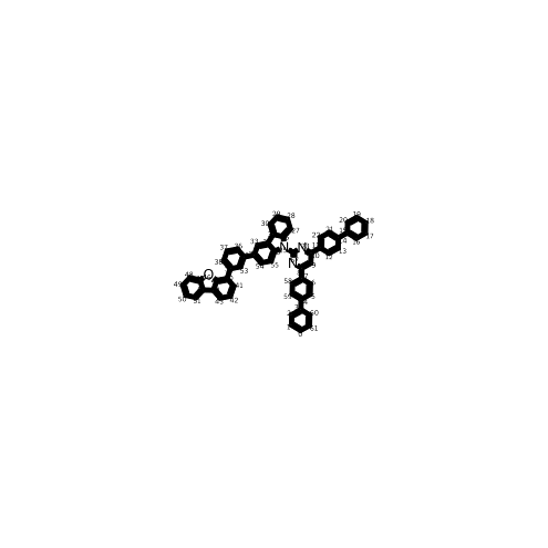 c1ccc(-c2ccc(-c3cc(-c4ccc(-c5ccccc5)cc4)nc(-n4c5ccccc5c5cc(-c6cccc(-c7cccc8c7oc7ccccc78)c6)ccc54)n3)cc2)cc1